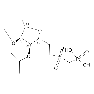 CO[C@@H]1[C@H](OC(C)C)[C@@H](CCS(=O)(=O)CP(=O)(O)O)O[C@H]1C